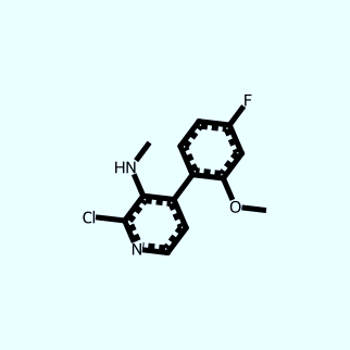 CNc1c(-c2ccc(F)cc2OC)ccnc1Cl